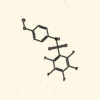 CCOc1ccc(NS(=O)(=O)c2c(F)c(F)c(F)c(F)c2F)cc1